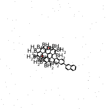 Bc1c(B)c(B)c2c(-c3c4c(B)c(B)c(B)c(B)c4c(-c4ccc5cc(-c6ccc7ccccc7c6)ccc5c4)c4c(B)c(B)c(B)c(B)c34)c(B)c(B)c(B)c2c1B